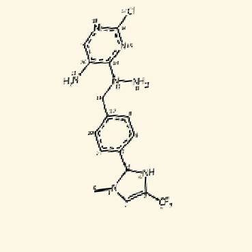 CN1C=C(C(F)(F)F)NC1c1ccc(CN(N)c2nc(Cl)ncc2N)cc1